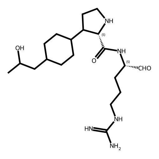 CC(O)CC1CCC(C2CCN[C@@H]2C(=O)N[C@H](C=O)CCCNC(=N)N)CC1